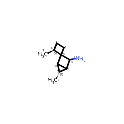 C[C@H]1C2C(N)C3(CC[C@@H]3C)C21